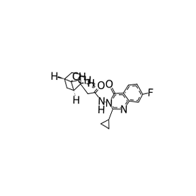 CC1(C)[C@H]2CC[C@@H](CC(=O)Nn3c(C4CC4)nc4cc(F)ccc4c3=O)[C@H]1C2